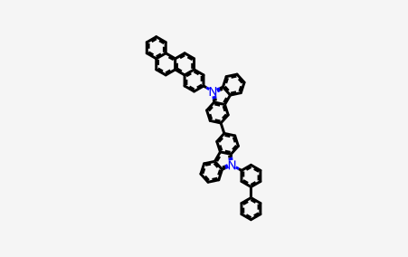 c1ccc(-c2cccc(-n3c4ccccc4c4cc(-c5ccc6c(c5)c5ccccc5n6-c5ccc6c(ccc7c8ccccc8ccc67)c5)ccc43)c2)cc1